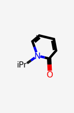 CC(C)n1c[c]ccc1=O